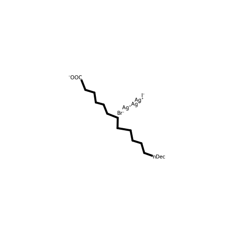 CCCCCCCCCCCCCCCCCCCCCC(=O)[O-].[Ag+].[Ag+].[Ag+].[Br-].[I-]